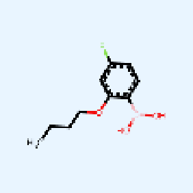 CCCCOc1cc(F)ccc1B(O)O